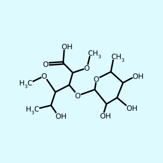 COC(C(=O)O)C(OC1OC(C)C(O)C(O)C1O)C(OC)C(C)O